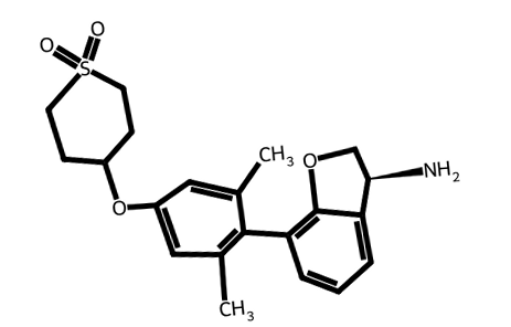 Cc1cc(OC2CCS(=O)(=O)CC2)cc(C)c1-c1cccc2c1OC[C@H]2N